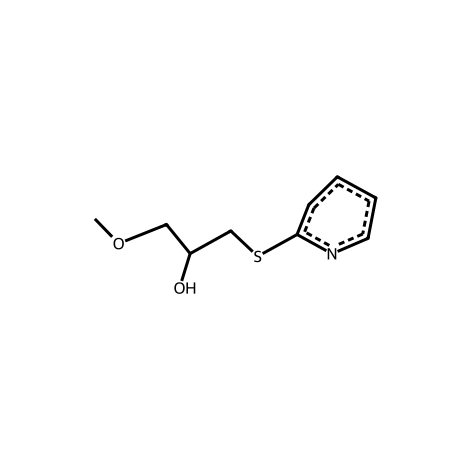 COCC(O)CSc1ccccn1